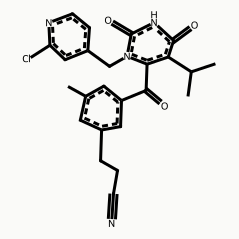 Cc1cc(CCC#N)cc(C(=O)c2c(C(C)C)c(=O)[nH]c(=O)n2Cc2ccnc(Cl)c2)c1